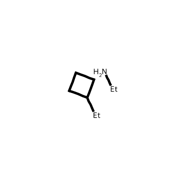 CCC1CCC1.CCN